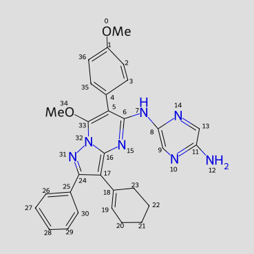 COc1ccc(-c2c(Nc3cnc(N)cn3)nc3c(C4=CCCCC4)c(-c4ccccc4)nn3c2OC)cc1